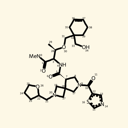 CNC(=O)C(NC(=O)[C@@H]1CN(C(=O)c2cncs2)CC12CN(CC1CCCO1)C2)[C@@H](C)OCC1(CO)CC=CCC1